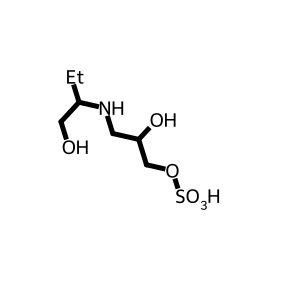 CCC(CO)NCC(O)COS(=O)(=O)O